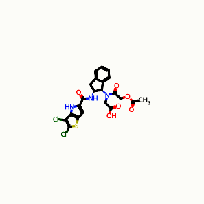 CC(=O)OCC(=O)N(CC(=O)O)[C@@H]1c2ccccc2C[C@H]1NC(=O)c1cc2sc(Cl)c(Cl)c2[nH]1